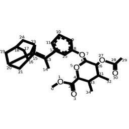 COC(=O)C1OC(Oc2cccc(C(C)=C3C4CC5CC(C4)CC3C5)c2)C(OC(C)=O)C(C)C1C